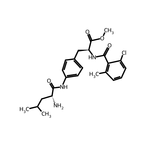 COC(=O)[C@H](Cc1ccc(NC(=O)[C@H](N)CC(C)C)cc1)NC(=O)c1c(C)cccc1Cl